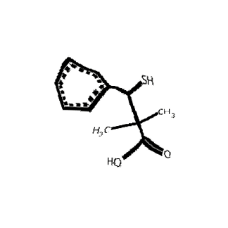 CC(C)(C(=O)O)C(S)c1ccccc1